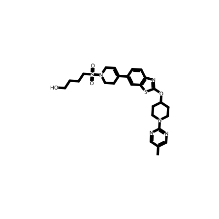 Cc1cnc(N2CCC(Oc3nc4ccc(C5=CCN(S(=O)(=O)CCCCO)CC5)cc4s3)CC2)nc1